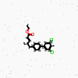 CCOC(=O)/C=C/[C@H](C)Cc1ccc(-c2cc(Cl)cc(Cl)c2)cc1